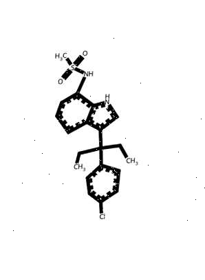 CCC(CC)(c1ccc(Cl)cc1)c1c[nH]c2c(NS(C)(=O)=O)cccc12